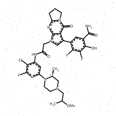 COC(C)CN1CCN(c2cc(NC(=O)Cn3cc(-c4cc(C(N)=O)c(O)c(F)c4F)c4c(=O)n5c(nc43)CCC5)c(Cl)c(F)n2)[C@@H](C)C1